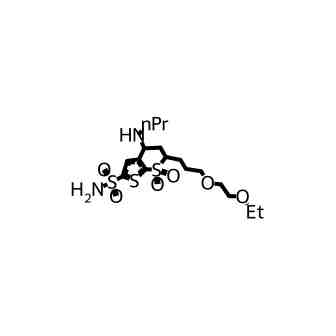 CCCNC1CC(CCCOCCOCC)S(=O)(=O)c2sc(S(N)(=O)=O)cc21